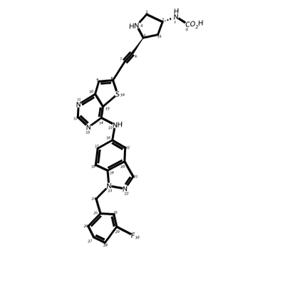 O=C(O)N[C@H]1CN[C@H](C#Cc2cc3ncnc(Nc4ccc5c(cnn5Cc5cccc(F)c5)c4)c3s2)C1